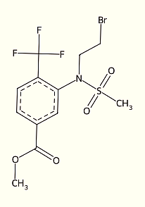 COC(=O)c1ccc(C(F)(F)F)c(N(CCBr)S(C)(=O)=O)c1